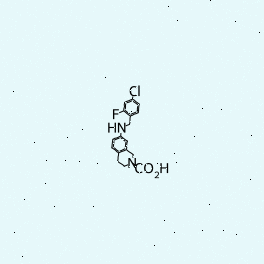 O=C(O)N1CCc2ccc(NCc3ccc(Cl)cc3F)cc2C1